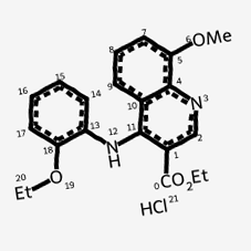 CCOC(=O)c1cnc2c(OC)cccc2c1Nc1ccccc1OCC.Cl